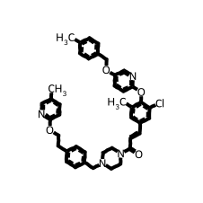 Cc1ccc(COc2ccc(Oc3c(C)cc(C=CC(=O)N4CCN(Cc5ccc(CCOc6ccc(C)cn6)cc5)CC4)cc3Cl)nc2)cc1